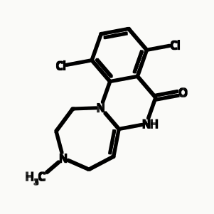 CN1CC=C2NC(=O)c3c(Cl)ccc(Cl)c3N2CC1